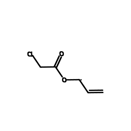 C=C[CH]OC(=O)CCl